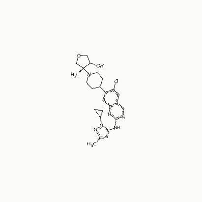 Cc1cc(Nc2ncc3cc(Cl)c(C4CCN([C@]5(C)COCC5O)CC4)cc3n2)n(C2CC2)n1